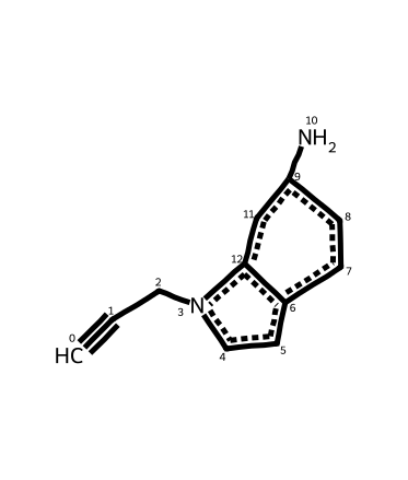 C#CCn1ccc2ccc(N)cc21